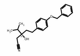 CC(C)[C@@](O)(CC#N)CCc1ccc(OCc2ccccc2)cc1